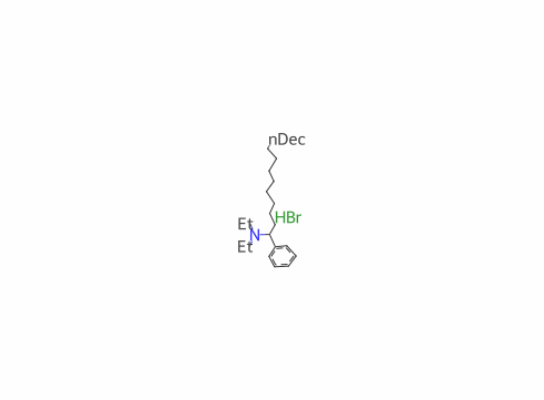 Br.CCCCCCCCCCCCCCCCCCC(c1ccccc1)N(CC)CC